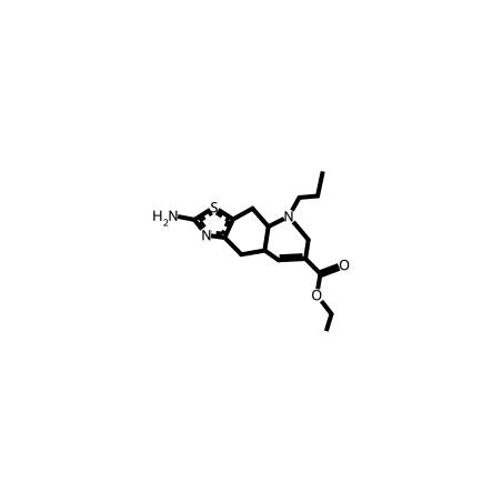 CCCN1CC(C(=O)OCC)=CC2Cc3nc(N)sc3CC21